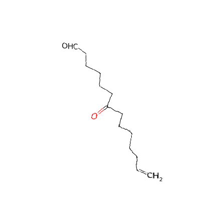 C=CCCCCCC(=O)CCCCCC=O